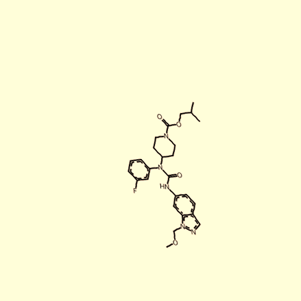 COCn1ncc2ccc(NC(=O)N(c3cccc(F)c3)C3CCN(C(=O)OCC(C)C)CC3)cc21